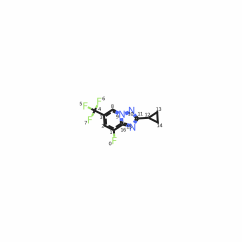 Fc1cc(C(F)(F)F)cn2nc(C3CC3)nc12